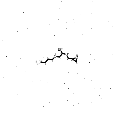 CCC(COCCC[SiH3])OCC1CO1